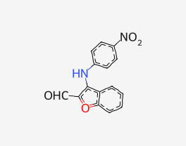 O=Cc1oc2ccccc2c1Nc1ccc([N+](=O)[O-])cc1